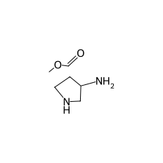 COC=O.NC1CCNC1